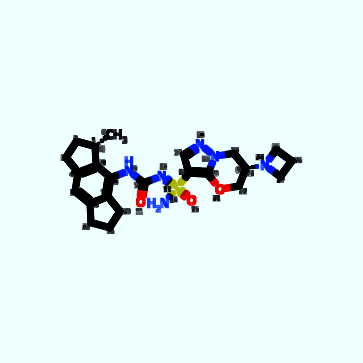 C[C@H]1CCc2cc3c(c(NC(=O)N=S(N)(=O)c4cnn5c4OC[C@@H](N4CCC4)C5)c21)CCC3